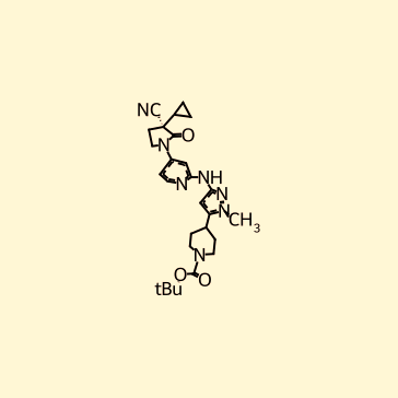 Cn1nc(Nc2cc(N3CC[C@@](C#N)(C4CC4)C3=O)ccn2)cc1C1CCN(C(=O)OC(C)(C)C)CC1